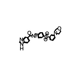 O=C(NCc1ccc(S(=O)(=O)c2cccc(N3CCOCC3)c2)cc1)c1ccc2[nH]cnc2c1